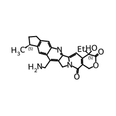 CC[C@@]1(O)C(=O)OCc2c1cc1n(c2=O)Cc2c-1nc1cc3c(cc1c2CN)[C@@H](C)CC3